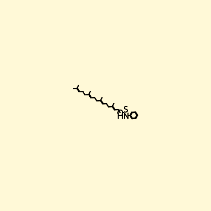 CC(C)=CCC/C(C)=C/CC/C(C)=C/CC/C(C)=C/COC(=S)Nc1ccccc1